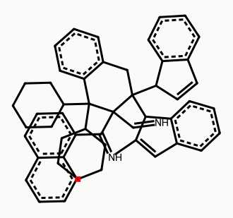 CC1=Cc2ccccc2C1C1(C2C=Cc3ccccc32)Cc2ccccc2C(C2CCCCC2)(C2CCCCC2)C1(C=N)C(=N)c1cccc2ccccc12